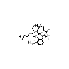 CCCC(=O)O.CCCCN1CCCCC1C(=O)Nc1c(C)cccc1C